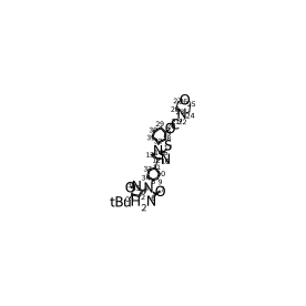 CC(C)(C)c1cc(N(C(N)=O)c2ccc(-c3cn4c(n3)sc3c(OCCN5CCOCC5)cccc34)cc2)no1